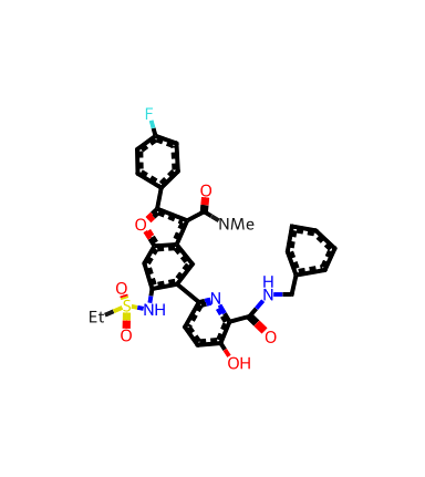 CCS(=O)(=O)Nc1cc2oc(-c3ccc(F)cc3)c(C(=O)NC)c2cc1-c1ccc(O)c(C(=O)NCc2ccccc2)n1